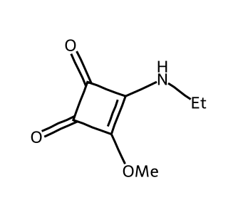 CCNc1c(OC)c(=O)c1=O